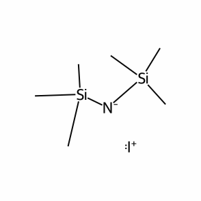 C[Si](C)(C)[N-][Si](C)(C)C.[I+]